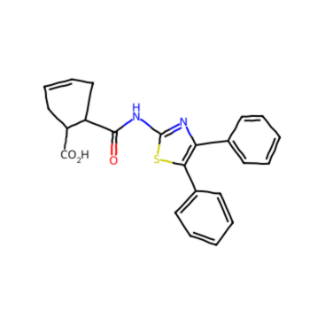 O=C(O)C1CC=CCC1C(=O)Nc1nc(-c2ccccc2)c(-c2ccccc2)s1